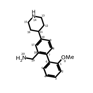 COc1ccccc1-c1ccc(C2CCNCC2)cc1CN